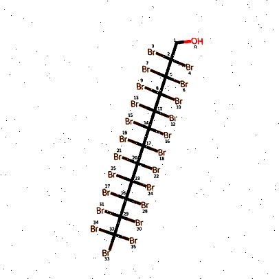 OCC(Br)(Br)C(Br)(Br)C(Br)(Br)C(Br)(Br)C(Br)(Br)C(Br)(Br)C(Br)(Br)C(Br)(Br)C(Br)(Br)C(Br)(Br)C(Br)(Br)Br